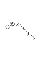 CC(C)=CCC/C(C)=C/CC/C(C)=C/CC/C(C)=C/c1nnc(-c2ccccc2)o1